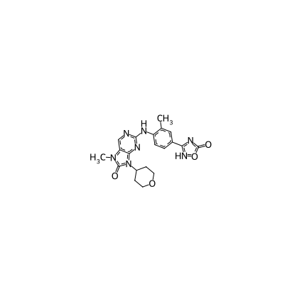 Cc1cc(-c2nc(=O)o[nH]2)ccc1Nc1ncc2c(n1)n(C1CCOCC1)c(=O)n2C